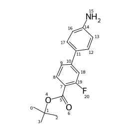 CC(C)(C)OC(=O)c1ccc(-c2ccc(N)cc2)cc1F